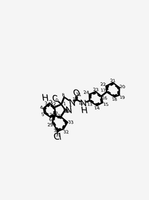 CC1(c2ccccc2)CN(C(=O)Nc2ccc(-c3ccccc3)cc2)N=C1c1ccc(Cl)cc1